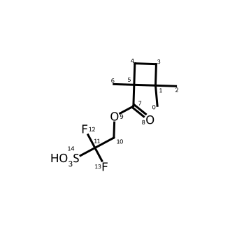 CC1(C)CCC1(C)C(=O)OCC(F)(F)S(=O)(=O)O